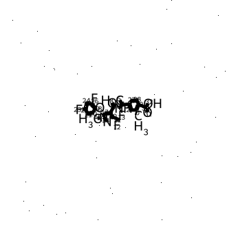 Cc1cc(C(C)NC(=O)c2c(C(F)F)nn(C)c2Oc2ccc(F)cc2F)ccc1C(=O)O